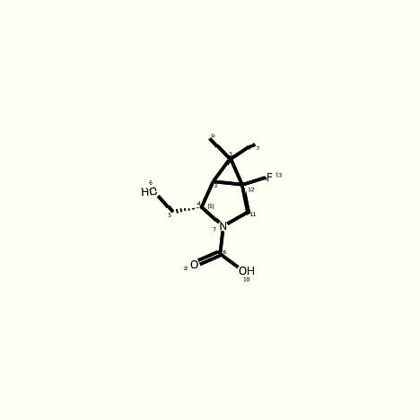 CC1(C)C2[C@@H](CO)N(C(=O)O)CC21F